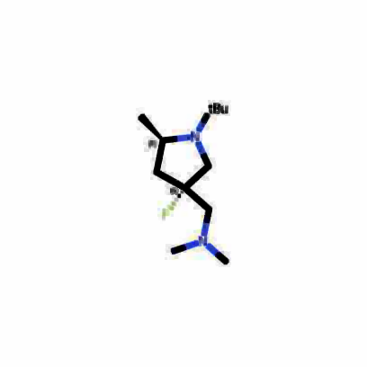 C[C@@H]1C[C@](F)(CN(C)C)CN1C(C)(C)C